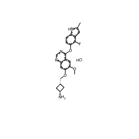 COc1cc2c(Oc3ccc4[nH]c(C)cc4c3F)ncnc2cc1OC[C@H]1C[C@H](N)C1.Cl